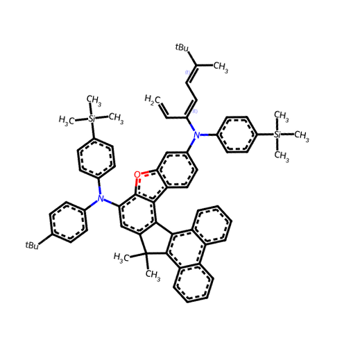 C=C/C(=C\C=C(/C)C(C)(C)C)N(c1ccc([Si](C)(C)C)cc1)c1ccc2c(c1)oc1c(N(c3ccc(C(C)(C)C)cc3)c3ccc([Si](C)(C)C)cc3)cc3c(c12)-c1c(c2ccccc2c2ccccc12)C3(C)C